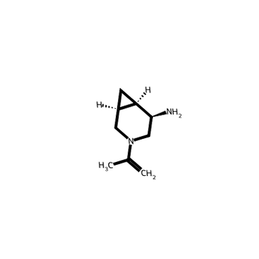 C=C(C)N1C[C@H]2C[C@H]2[C@@H](N)C1